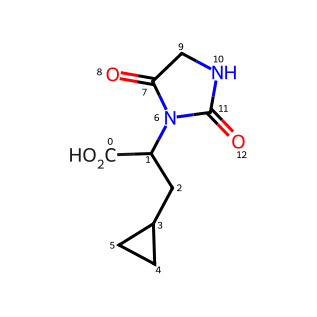 O=C(O)C(CC1CC1)N1C(=O)CNC1=O